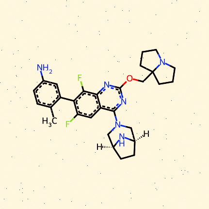 Cc1ccc(N)cc1-c1c(F)cc2c(N3C[C@H]4CC[C@@H](C3)N4)nc(OCC34CCCN3CCC4)nc2c1F